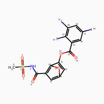 CS(=O)(=O)NC(=O)c1cc2cc(OC(=O)c3cc(I)cc(I)c3I)c1o2